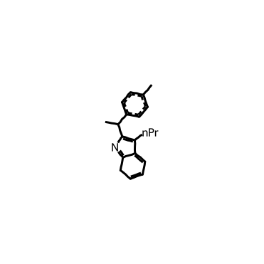 CCCC1=C(C(C)c2ccc(C)cc2)N=C2CC=CC=C21